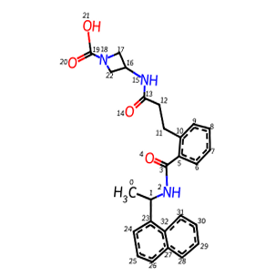 CC(NC(=O)c1ccccc1CCC(=O)NC1CN(C(=O)O)C1)c1cccc2ccccc12